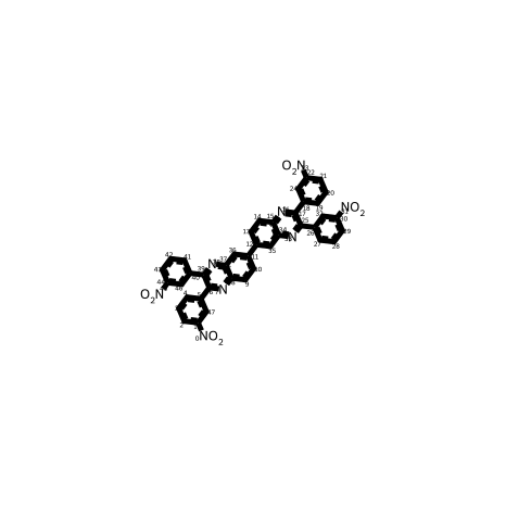 O=[N+]([O-])c1cccc(-c2nc3ccc(-c4ccc5nc(-c6cccc([N+](=O)[O-])c6)c(-c6cccc([N+](=O)[O-])c6)nc5c4)cc3nc2-c2cccc([N+](=O)[O-])c2)c1